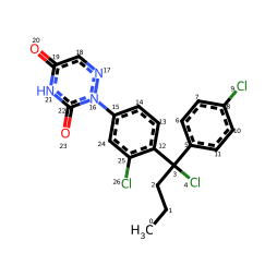 CCCC(Cl)(c1ccc(Cl)cc1)c1ccc(-n2ncc(=O)[nH]c2=O)cc1Cl